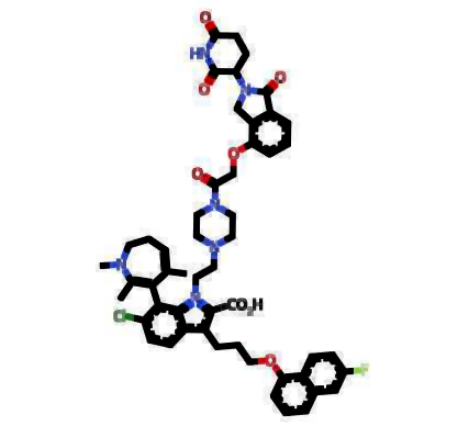 CC1=CCCN(C)C(C)=C1c1c(Cl)ccc2c(CCCOc3cccc4cc(F)ccc34)c(C(=O)O)n(CCN3CCN(C(=O)COc4cccc5c4CN(C4CCC(=O)NC4=O)C5=O)CC3)c12